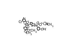 CCOc1cc(C(Cc2c(Cl)cncc2Cl)OC(=O)c2ccc(CNC(C(=O)OCC3CCN(C)CC3)c3cccc(O)c3)s2)ccc1OC